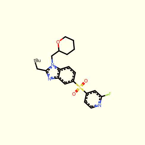 CC(C)(C)Cc1nc2cc(S(=O)(=O)c3ccnc(F)c3)ccc2n1CC1CCCCO1